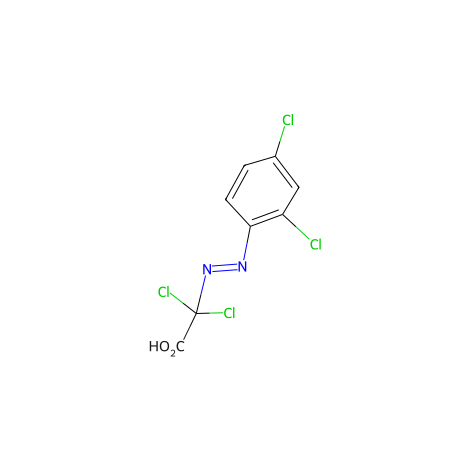 O=C(O)C(Cl)(Cl)N=Nc1ccc(Cl)cc1Cl